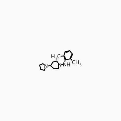 Cc1cccc(C)c1NN1CCC(N2CCCC2)CC1